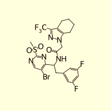 CS(=O)(=O)c1ncc(Br)c(C(Cc2cc(F)cc(F)c2)NC(=O)Cn2nc(C(F)(F)F)c3c2CCCC3)n1